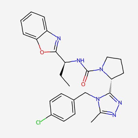 CC[C@H](NC(=O)N1CCC[C@@H]1c1nnc(C)n1Cc1ccc(Cl)cc1)c1nc2ccccc2o1